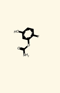 NC(=O)Oc1cc(O)ccc1F